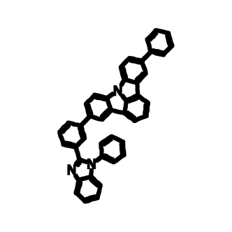 c1ccc(-c2ccc3c(c2)c2cccc4c5cc(-c6cccc(-c7nc8ccccc8n7-c7ccccc7)c6)ccc5n3c24)cc1